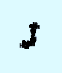 CCN(CC)C(=O)c1ccc(C=Cc2cc(-c3cc4c(=O)[nH]cnc4[nH]3)ccn2)cc1